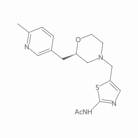 CC(=O)Nc1ncc(CN2CCO[C@H](Cc3ccc(C)nc3)C2)s1